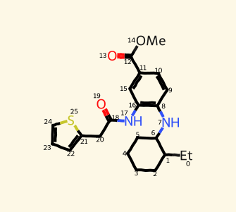 CCC1CCCCC1Nc1ccc(C(=O)OC)cc1NC(=O)Cc1cccs1